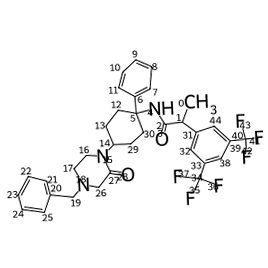 CC(C(=O)NC1(c2ccccc2)CCC(N2CCN(Cc3ccccc3)CC2=O)CC1)c1cc(C(F)(F)F)cc(C(F)(F)F)c1